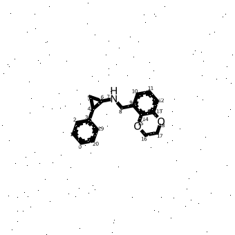 c1ccc(C2CC2NCc2cccc3c2OCCO3)cc1